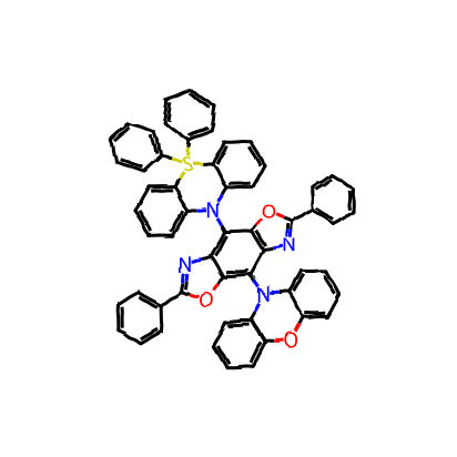 c1ccc(-c2nc3c(N4c5ccccc5S(c5ccccc5)(c5ccccc5)c5ccccc54)c4oc(-c5ccccc5)nc4c(N4c5ccccc5Oc5ccccc54)c3o2)cc1